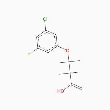 C=C(O)C(C)(C)C(C)(C)Oc1cc(F)cc(Cl)c1